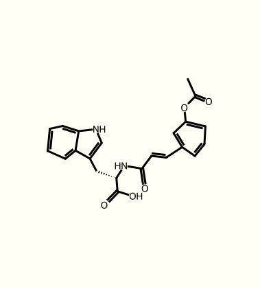 CC(=O)Oc1cccc(/C=C/C(=O)N[C@@H](Cc2c[nH]c3ccccc23)C(=O)O)c1